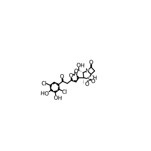 C[C@]1(c2cc(CC(=O)c3cc(Cl)c(O)c(O)c3Cl)on2)[C@H](C(=O)O)N2C(=O)C[C@H]2S1(=O)=O